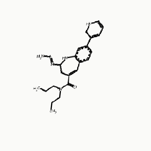 CCCN(CCC)C(=O)C1=Cc2ccc(C3=CC=CNC3)cc2NC(N=NN)C1